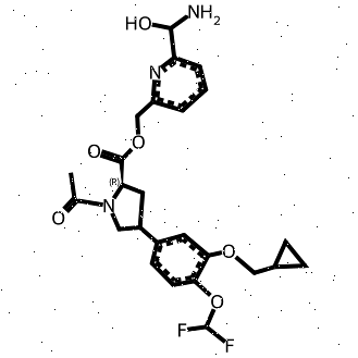 CC(=O)N1CC(c2ccc(OC(F)F)c(OCC3CC3)c2)C[C@@H]1C(=O)OCc1cccc(C(N)O)n1